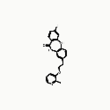 Cc1ncccc1OCCc1ccc2c(c1)NC(=O)c1ccc(Cl)cc1N2